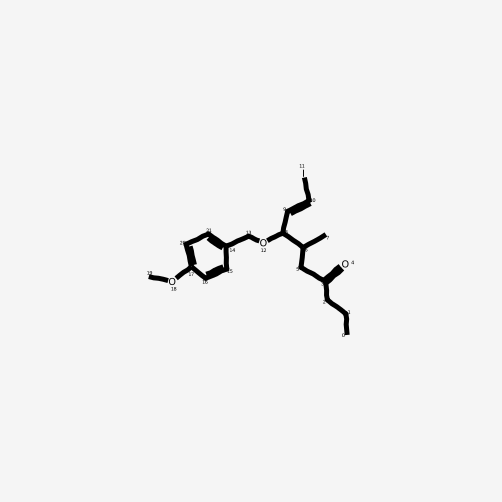 CCCC(=O)CC(C)C(C=CI)OCc1ccc(OC)cc1